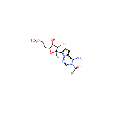 CCOC(=O)OC[C@H]1O[C@@](C#N)(c2ccc3c(N)[n+](C(=O)CC)cnn23)[C@H](O)[C@@H]1O